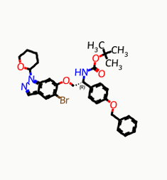 CC(C)(C)OC(=O)N[C@@H](COc1cc2c(cnn2C2CCCCO2)cc1Br)c1ccc(OCc2ccccc2)cc1